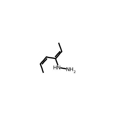 C/C=C\C(=C/C)NN